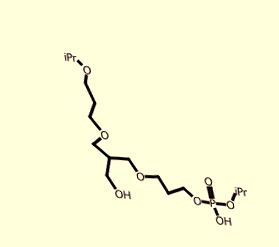 CC(C)OCCCOCC(CO)COCCCOP(=O)(O)OC(C)C